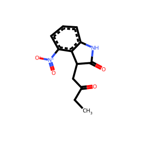 CCC(=O)CC1C(=O)Nc2cccc([N+](=O)[O-])c21